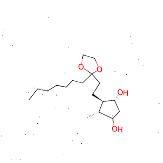 CCCCCCCC1(CC[C@H]2[C@H](O)CC(O)[C@@H]2C)OCCO1